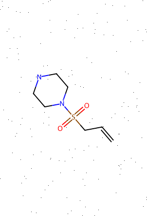 C=CCS(=O)(=O)N1CC[N]CC1